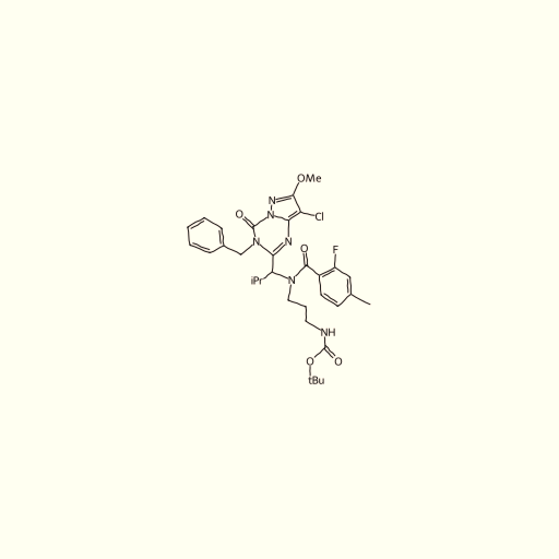 COc1nn2c(=O)n(Cc3ccccc3)c(C(C(C)C)N(CCCNC(=O)OC(C)(C)C)C(=O)c3ccc(C)cc3F)nc2c1Cl